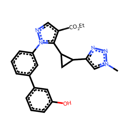 CCOC(=O)c1cnn(-c2cccc(-c3cccc(O)c3)c2)c1C1CC1c1cn(C)nn1